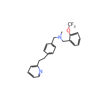 CN(Cc1ccc(CCc2ccccn2)cc1)Cc1ccccc1OC(F)(F)F